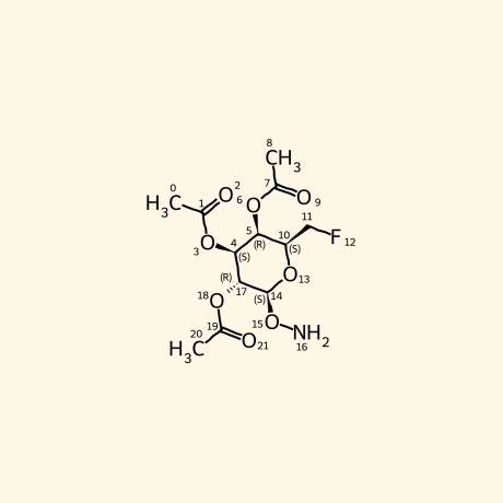 CC(=O)O[C@H]1[C@@H](OC(C)=O)[C@@H](CF)O[C@@H](ON)[C@@H]1OC(C)=O